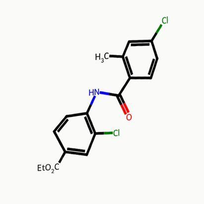 CCOC(=O)c1ccc(NC(=O)c2ccc(Cl)cc2C)c(Cl)c1